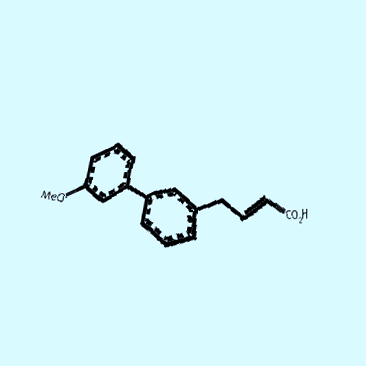 COc1cccc(-c2cccc(C/C=C/C(=O)O)c2)c1